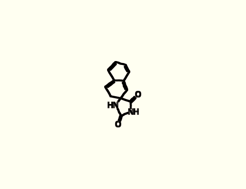 O=C1NC(=O)C2(C=c3ccccc3=CC2)N1